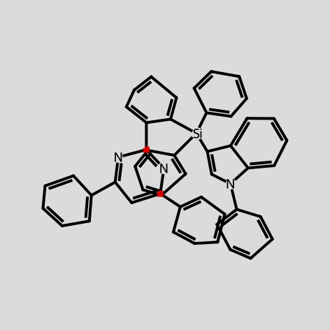 c1ccc(-c2cc(-c3ccccc3)nc(-c3ccccc3[Si](c3ccccc3)(c3ccccc3)c3cn(-c4ccccc4)c4ccccc34)n2)cc1